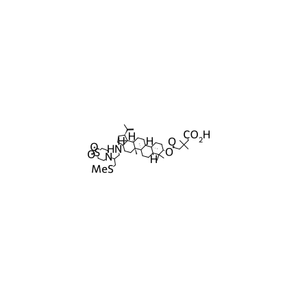 C=C(C)[C@@H]1CC[C@]2(NCC(CSC)N3CCS(=O)(=O)CC3)CC[C@]3(C)[C@H](CC[C@@H]4[C@@]5(C)CC[C@H](OC(=O)CC(C)(C)CC(=O)O)C(C)(C)[C@@H]5CC[C@]43C)[C@@H]12